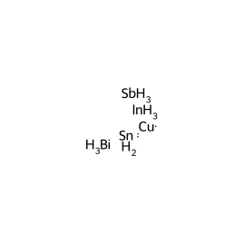 [BiH3].[Cu].[InH3].[SbH3].[SnH2]